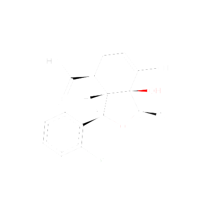 C=C(C)[C@H]1CC=C(C)[C@@]2(O)[C@@H]1[C@H](c1ccccc1Br)O[C@@H]2C(C)=O